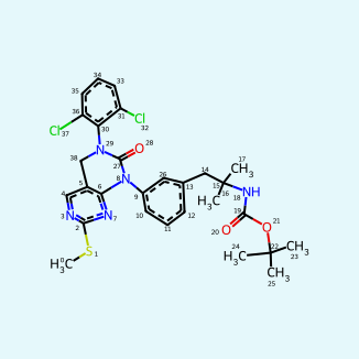 CSc1ncc2c(n1)N(c1cccc(CC(C)(C)NC(=O)OC(C)(C)C)c1)C(=O)N(c1c(Cl)cccc1Cl)C2